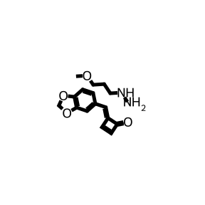 COCCCNN.O=C1C=CC1=Cc1ccc2c(c1)OCO2